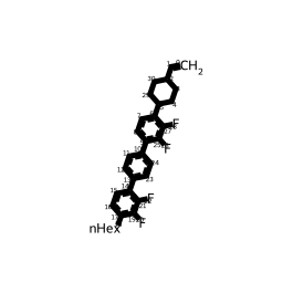 C=CC1CCC(c2ccc(-c3ccc(-c4ccc(CCCCCC)c(F)c4F)cc3)c(F)c2F)CC1